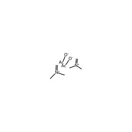 C=[N+](C)C.C=[N+](C)C.CC(=O)[O-].CC(=O)[O-]